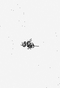 CCCCCCCCOC(=O)c1sc2c(-c3cc4c(-c5ccc(CC(CC)CCCC)o5)c5sc(C)cc5c(-c5ccc(CC(CC)CCCC)o5)c4s3)sc(C)c2c1F